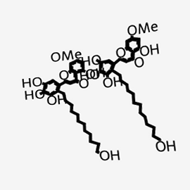 COc1cc(O)c2c(=O)cc(-c3cc(O)c(O)c(O)c3CCCCCCCCCCCCCO)oc2c1.COc1cc(O)c2c(=O)cc(-c3cc(O)c(O)c(O)c3CCCCCCCCCCCCO)oc2c1